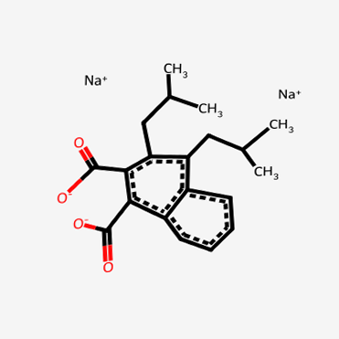 CC(C)Cc1c(C(=O)[O-])c(C(=O)[O-])c2ccccc2c1CC(C)C.[Na+].[Na+]